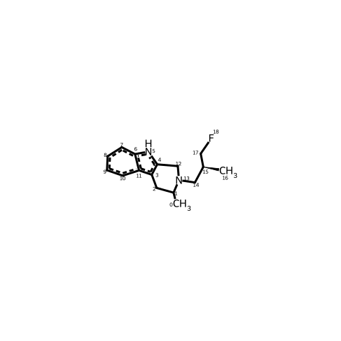 CC1Cc2c([nH]c3ccccc23)CN1C[C@H](C)CF